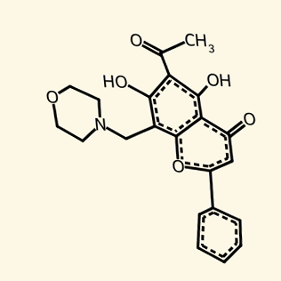 CC(=O)c1c(O)c(CN2CCOCC2)c2oc(-c3ccccc3)cc(=O)c2c1O